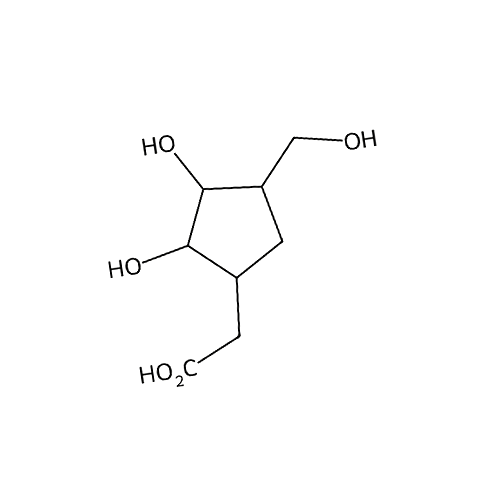 O=C(O)CC1CC(CO)C(O)C1O